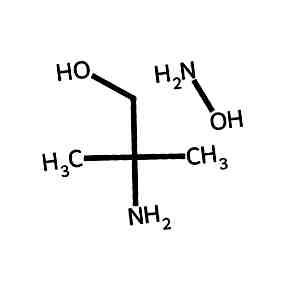 CC(C)(N)CO.NO